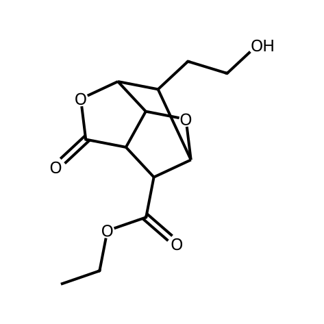 CCOC(=O)C1C2OC3C(OC(=O)C31)C2CCO